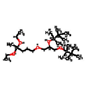 CCO[Si](C)(CCCOCC(CO[Si](C)(C)C(C)(C)C)O[Si](C)(C)C(C)(C)C)OCC